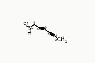 CC#CC#CCBF